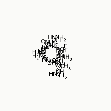 C=C(N)[C@@H]1CCCNC(=O)CC[C@H](NC(=O)[C@H](CCCNC(=N)N)NC(C)=O)C(=O)N[C@@H](CCN)C(=O)N[C@H](Cc2ccc(F)c(F)c2)C(=O)N[C@@H](CCCNC(=N)N)C(=O)N[C@@H](Cc2c[nH]c3ccccc23)C(=O)N1